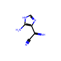 N#CC(=N)c1nc[nH]c1N